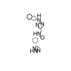 O=C(NCc1cnc(NC2Cc3ccccc3C2)nc1)[C@H]1CCC[C@@H](c2cn[nH]n2)C1